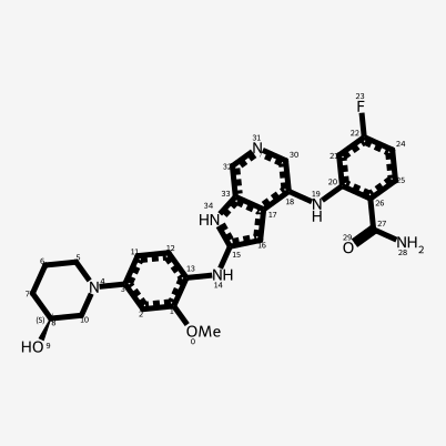 COc1cc(N2CCC[C@H](O)C2)ccc1Nc1cc2c(Nc3cc(F)ccc3C(N)=O)cncc2[nH]1